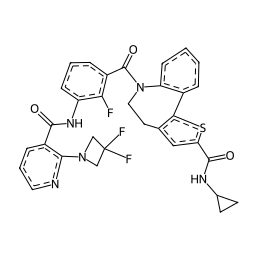 O=C(NC1CC1)c1cc2c(s1)-c1ccccc1N(C(=O)c1cccc(NC(=O)c3cccnc3N3CC(F)(F)C3)c1F)CC2